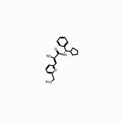 CC(=O)OCc1cccc(/C=C(\C#N)C(=O)N[C@H](c2ccccc2)C2CCCC2)n1